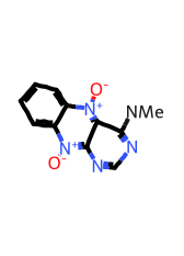 CNc1ncnc2c1[n+]([O-])c1ccccc1[n+]2[O-]